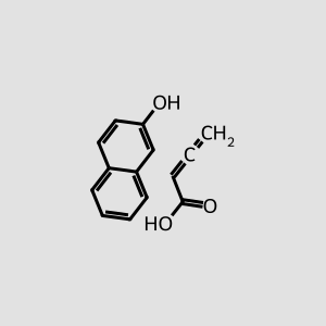 C=C=CC(=O)O.Oc1ccc2ccccc2c1